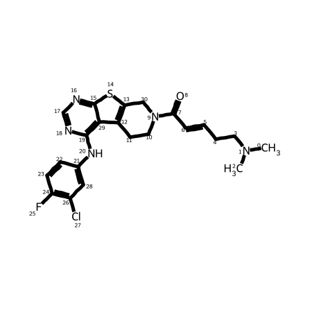 CN(C)CCC=CC(=O)N1CCc2c(sc3ncnc(Nc4ccc(F)c(Cl)c4)c23)C1